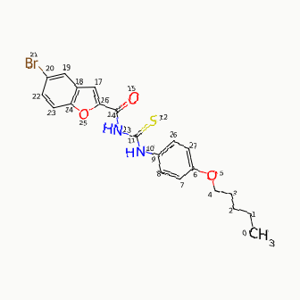 CCCCCOc1ccc(NC(=S)NC(=O)c2cc3cc(Br)ccc3o2)cc1